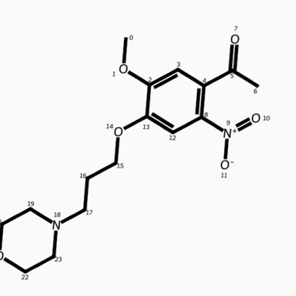 COc1cc(C(C)=O)c([N+](=O)[O-])cc1OCCCN1CCOCC1